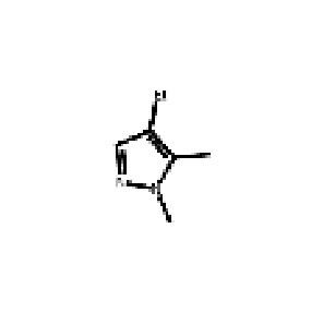 CCc1[c]nn(C)c1C